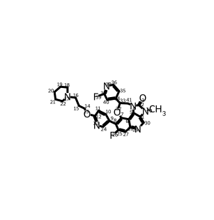 Cn1c(=O)n2c3c4c(c(-c5ccc(OCCCN6CCCCC6)nc5)c(F)cc4ncc31)OC(c1ccnc(F)c1)C2